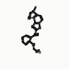 Cn1cnc2c3nc(Nc4ccccc4OCC(F)(F)F)sc3ccc21